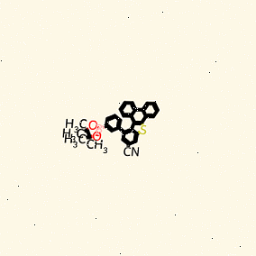 CC1(C)OB(c2cccc(-c3cc(C#N)cc4sc5c6ccccc6c6ccccc6c5c34)c2)OC1(C)C